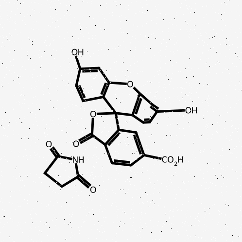 O=C(O)c1ccc2c(c1)C1(OC2=O)c2ccc(O)cc2Oc2cc(O)ccc21.O=C1CCC(=O)N1